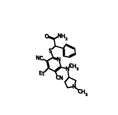 CCc1c(C#N)c(SC(C(N)=O)c2ccccc2)nc(N(C)C2CCN(C)C2)c1C#N